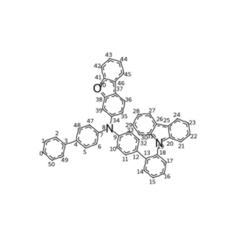 c1ccc(-c2ccc(N(c3ccc(-c4ccccc4-n4c5ccccc5c5ccccc54)cc3)c3ccc4c(c3)oc3ccccc34)cc2)cc1